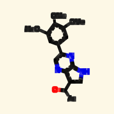 COc1cc(-c2cnc3c(C(=O)C(C)=O)c[nH]c3n2)cc(OC)c1OC